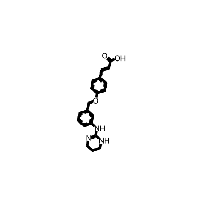 O=C(O)C=Cc1ccc(OCc2cccc(NC3=NCCCN3)c2)cc1